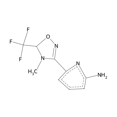 CN1C(c2cccc(N)n2)=NOC1C(F)(F)F